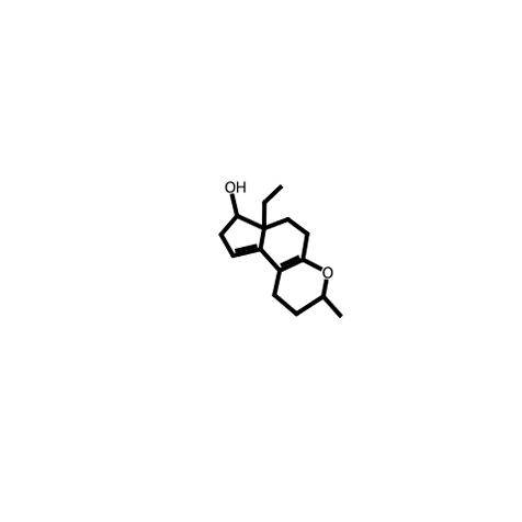 CCC12CCC3=C(CCC(C)O3)C1=CCC2O